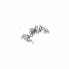 Nc1ccc(C(=O)O)cc1/N=N/c1ccc(/C=C/c2ccc(/N=N/c3cc(C(=O)O)ccc3N)cc2S(=O)(=O)O)c(S(=O)(=O)O)c1